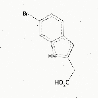 O=C(O)Cc1cc2ccc(Br)cc2[nH]1